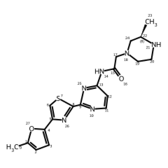 Cc1ccc(-c2csc(-c3nccc(NC(=O)CN4CCN[C@H](C)C4)n3)n2)o1